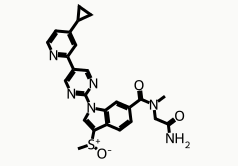 CN(CC(N)=O)C(=O)c1ccc2c([S+](C)[O-])cn(-c3ncc(-c4cc(C5CC5)ccn4)cn3)c2c1